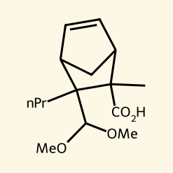 CCCC1(C(OC)OC)C2C=CC(C2)C1(C)C(=O)O